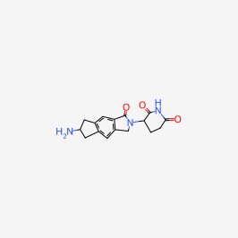 NC1Cc2cc3c(cc2C1)C(=O)N(C1CCC(=O)NC1=O)C3